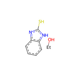 CCO.Sc1nc2ccccc2[nH]1